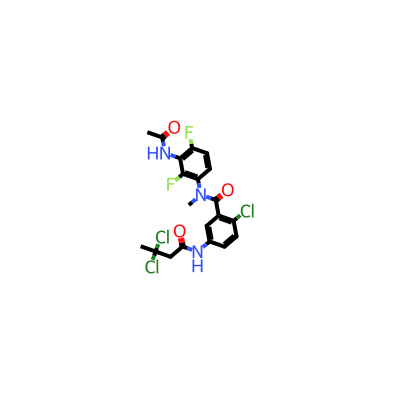 CC(=O)Nc1c(F)ccc(N(C)C(=O)c2cc(NC(=O)CC(C)(Cl)Cl)ccc2Cl)c1F